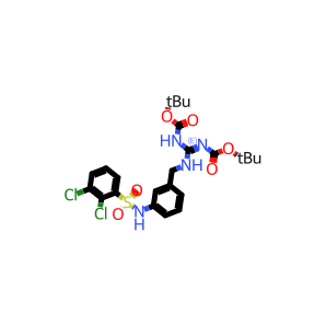 CC(C)(C)OC(=O)/N=C(\NCc1cccc(NS(=O)(=O)c2cccc(Cl)c2Cl)c1)NC(=O)OC(C)(C)C